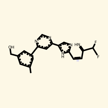 Cc1cc(CO)cc(-c2cc(-c3cnc(/C=C\C(=N)C(F)F)[nH]3)ncn2)c1